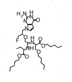 CCCCCOCC(NP(COC(CF)Cn1ccc2c(=O)[nH]c(N)nc21)NC(CC)C(=O)OCCCCC)C(=O)OCCCCC